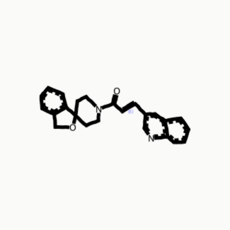 O=C(/C=C/c1cnc2ccccc2c1)N1CCC2(CC1)OCc1ccccc12